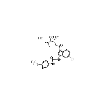 CCOC(=O)C(CCC(=O)n1cc(NC(=O)Nc2ccc(SC(F)(F)F)nc2)c2cc(Cl)ccc21)N(C)C.Cl